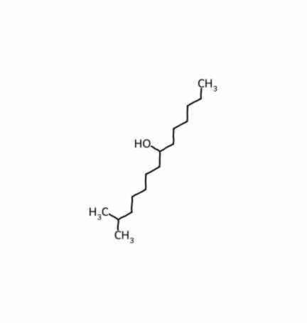 CCCCCCC(O)CCCCCC(C)C